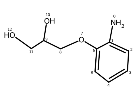 Nc1ccccc1OCC(O)CO